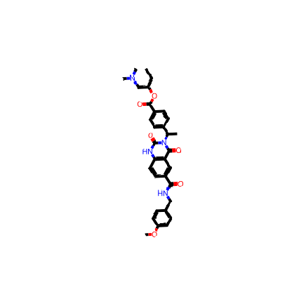 CCC(CN(C)C)OC(=O)c1ccc(C(C)n2c(=O)[nH]c3ccc(C(=O)NCc4ccc(OC)cc4)cc3c2=O)cc1